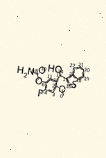 COc1cc(F)c(OC(N)=O)cc1C(O)c1csc2ccccc12